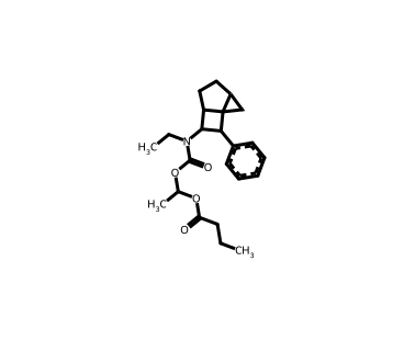 CCCC(=O)OC(C)OC(=O)N(CC)C1C2CCC3CC32C1c1ccccc1